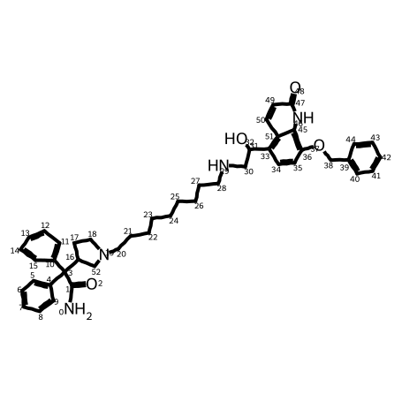 NC(=O)C(c1ccccc1)(c1ccccc1)C1CCN(CCCCCCCCCNCC(O)c2ccc(OCc3ccccc3)c3[nH]c(=O)ccc23)C1